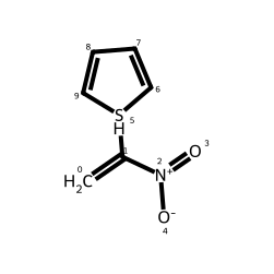 C=C([N+](=O)[O-])[SH]1C=CC=C1